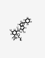 C=CCOc1c([Si](C)(C)C)cc(C)cc1[Si](C)(C)C1C(C)=Cc2c1ccn2-c1ccccc1